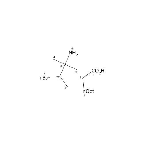 CCCCC(C)C(C)(C)N.CCCCCCCCCC(=O)O